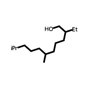 CCC(CO)CCCC(C)CCCC(C)C